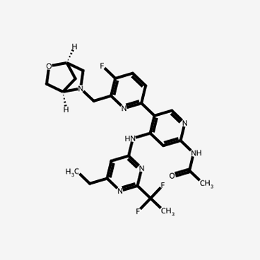 CCc1cc(Nc2cc(NC(C)=O)ncc2-c2ccc(F)c(CN3C[C@H]4C[C@@H]3CO4)n2)nc(C(C)(F)F)n1